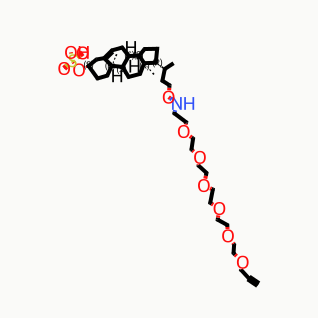 C#CCOCCOCCOCCOCCOCCOCCNOCCC(C)[C@H]1CC[C@H]2[C@@H]3CC=C4C[C@@H](OS(=O)(=O)O)CC[C@]4(C)[C@H]3CC[C@]12C